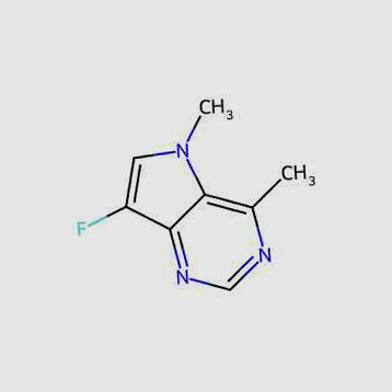 Cc1ncnc2c(F)cn(C)c12